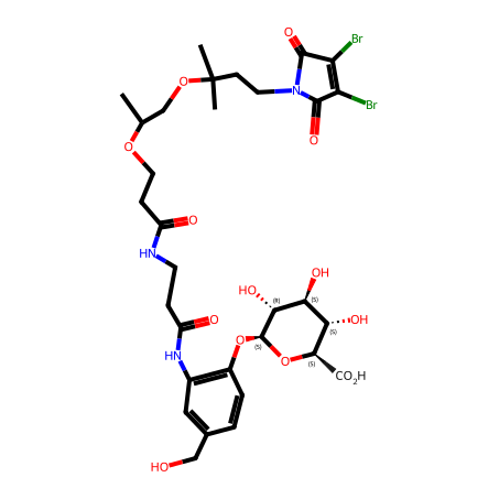 CC(COC(C)(C)CCN1C(=O)C(Br)=C(Br)C1=O)OCCC(=O)NCCC(=O)Nc1cc(CO)ccc1O[C@@H]1O[C@H](C(=O)O)[C@@H](O)[C@H](O)[C@H]1O